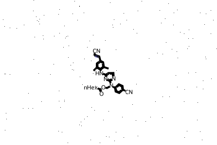 CCCCCCC(=O)OCN(c1ccc(C#N)cc1)c1nccc(Nc2c(C)cc(/C=C/C#N)cc2C)n1